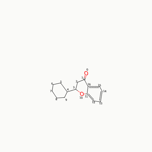 O=C1CC(C2CCCCC2)Oc2ccccc21